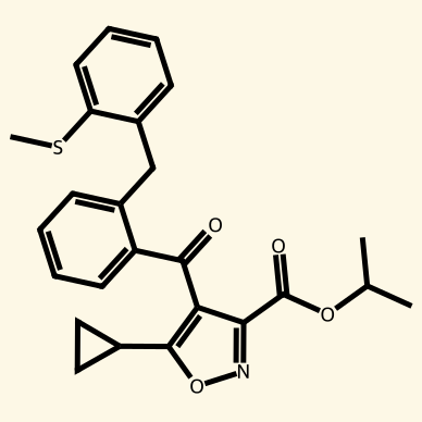 CSc1ccccc1Cc1ccccc1C(=O)c1c(C(=O)OC(C)C)noc1C1CC1